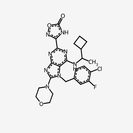 CC(Nc1nc(-c2noc(=O)[nH]2)nc2nc(N3CCOCC3)n(Cc3ccc(Cl)c(F)c3)c12)C1CCC1